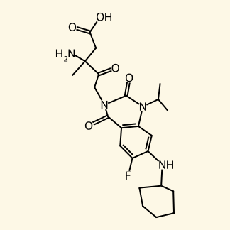 CC(C)n1c(=O)n(CC(=O)C(C)(N)CC(=O)O)c(=O)c2cc(F)c(NC3CCCCC3)cc21